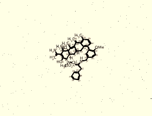 C=C(N)C1=C(O)[C@@H](N(C)C)[C@@H]2C[C@@H]3Cc4c(-c5cc(CNC(Cc6ccccc6)C(=O)OCC)ccc5OC)ccc(C)c4C(=C)C3=C(C)[C@]2(O)C1=C